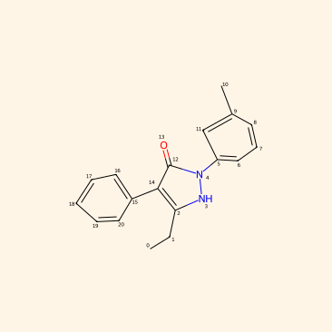 CCc1[nH]n(-c2cccc(C)c2)c(=O)c1-c1ccccc1